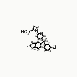 O=C(O)C1CCN1c1ccc(C(F)(c2cccc(Cl)c2)c2ccc3ncsc3c2)cn1